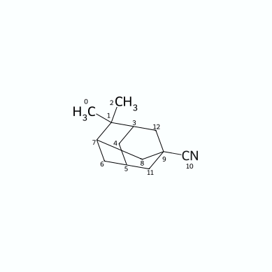 CC1(C)C2CC3CC1CC(C#N)(C3)C2